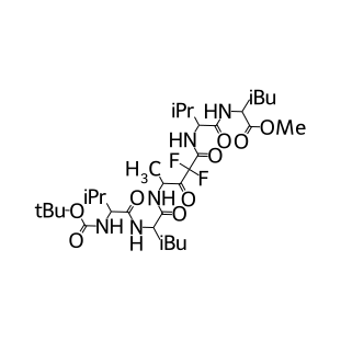 CCC(C)C(NC(=O)C(NC(=O)OC(C)(C)C)C(C)C)C(=O)NC(C)C(=O)C(F)(F)C(=O)NC(C(=O)NC(C(=O)OC)C(C)CC)C(C)C